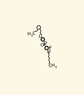 CCCCCCCCOc1ccc(C(=O)Oc2ccc(OCCCC3CCCCC3CCC)cc2)cc1F